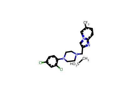 CS(=O)(=O)O.FC(F)(F)c1ccc2nc(CN3CCN(c4ccc(Cl)cc4Cl)CC3)cn2c1